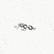 CN(C)CC1(N)CCN(c2ccc(Br)cn2)CC1.Cl